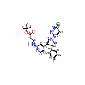 CC(C)(C)OC(=O)CCNc1cc(-c2cn(-c3ccc(Cl)nn3)nc2-c2ccc(F)cc2)ccn1